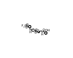 O=C(NCc1ccc(S(=O)(=O)N2CCC(Nc3cccc(S(=O)(=O)C(F)(F)F)c3)CC2)s1)c1ccccc1O